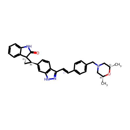 C[C@@H]1CN(Cc2ccc(/C=C/c3n[nH]c4cc([C@H]5C[C@]56C(=O)Nc5ccccc56)ccc34)cc2)C[C@H](C)O1